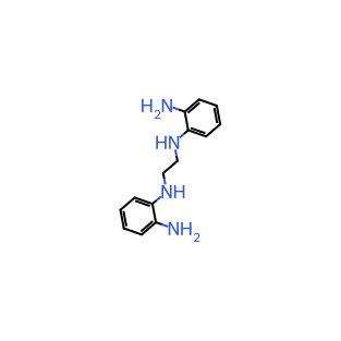 Nc1ccccc1NCCNc1ccccc1N